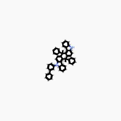 CC1(c2ccccc2)c2ccc3c(c2C(C)(c2ccccc2)c2ccc4[nH]c5ccccc5c4c21)c1ccccc1n3-c1cccc(-c2ccccc2)c1